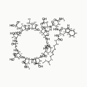 CCC(C)CCCCCCCCC(=O)NC(Cc1c[nH]c2ccccc12)C(=O)NC(CC(N)=O)C(=O)NC(CC(=O)O)C(=O)NC1C(=O)NCC(=O)NC(CCCN)C(=O)NC(CC(=O)O)C(=O)NC(CC(N)=O)C(=O)NC(CC(=O)O)C(=O)NCC(=O)NC(CO)C(=O)NC(C(C)CC(=O)O)C(=O)NC(C(C)CC)C(=O)OC1C